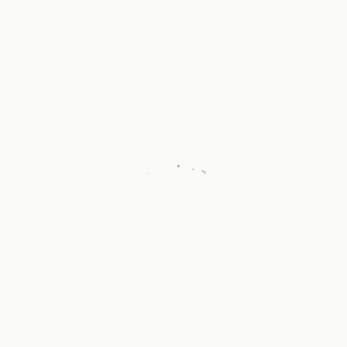 O.O.[NaH].[O]=[V](=[O])[OH]